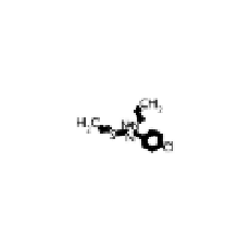 C=CCSc1nc(-c2ccc(Cl)cc2)n(CC=C)n1